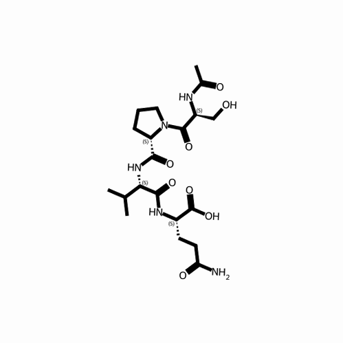 CC(=O)N[C@@H](CO)C(=O)N1CCC[C@H]1C(=O)N[C@H](C(=O)N[C@@H](CCC(N)=O)C(=O)O)C(C)C